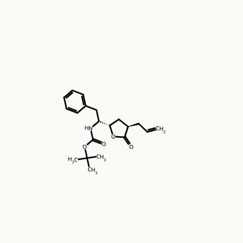 C=CC[C@@H]1C[C@@H](C(Cc2ccccc2)NC(=O)OC(C)(C)C)OC1=O